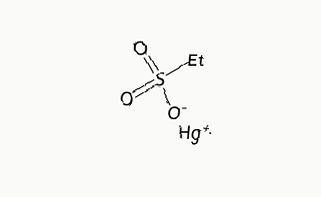 CCS(=O)(=O)[O-].[Hg+]